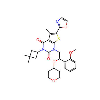 COc1ccccc1[C@H](Cn1c(=O)n(C2CC(C)(C)C2)c(=O)c2c(C)c(-c3ncco3)sc21)OC1CCOCC1